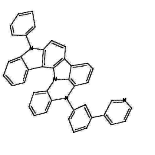 c1ccc(-n2c3ccccc3c3c2ccc2c4cccc5c4n(c23)-c2ccccc2N5c2cccc(-c3cccnc3)c2)cc1